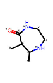 CC1NCCNC(=O)C1C